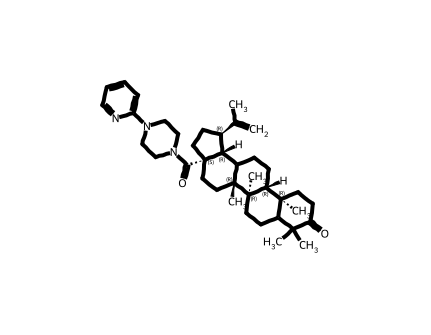 C=C(C)[C@@H]1CC[C@]2(C(=O)N3CCN(c4ccccn4)CC3)CC[C@]3(C)C(CC[C@@H]4[C@@]5(C)CCC(=O)C(C)(C)C5CC[C@]43C)[C@@H]12